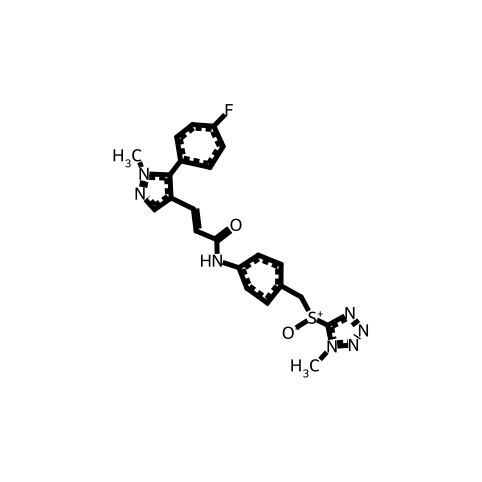 Cn1nnnc1[S+]([O-])Cc1ccc(NC(=O)/C=C/c2cnn(C)c2-c2ccc(F)cc2)cc1